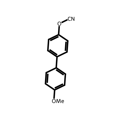 COc1ccc(-c2ccc(OC#N)cc2)cc1